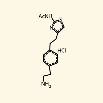 CC(=O)Nc1nc(CCc2ccc(CCN)cc2)cs1.Cl